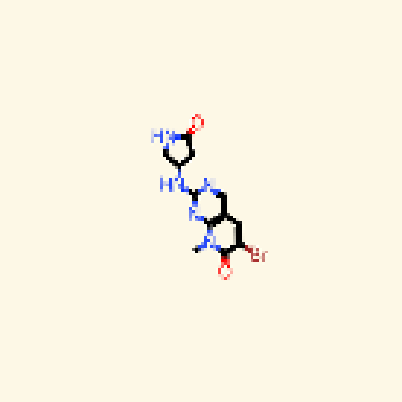 Cn1c(=O)c(Br)cc2cnc(N[C@H]3CNC(=O)C3)nc21